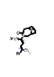 CN/C(=C\C=C(/C)Br)N1CC2CC3CC(CC1=O)N32